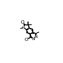 Cc1nnc(Cl)c2cc3c(cc12)C(C)(C)C(=O)N3C